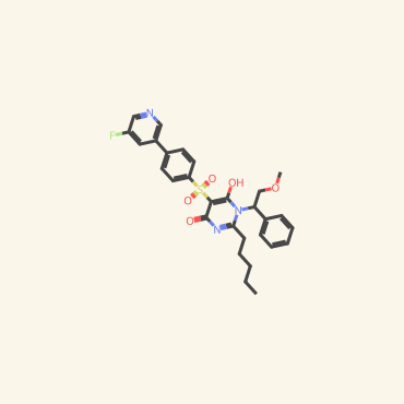 CCCCCc1nc(=O)c(S(=O)(=O)c2ccc(-c3cncc(F)c3)cc2)c(O)n1C(COC)c1ccccc1